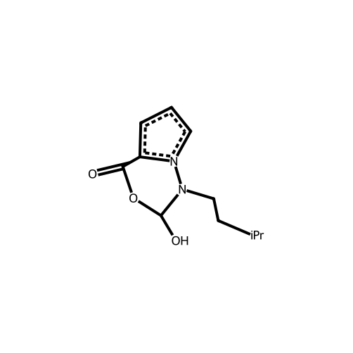 CC(C)CCN1C(O)OC(=O)c2cccn21